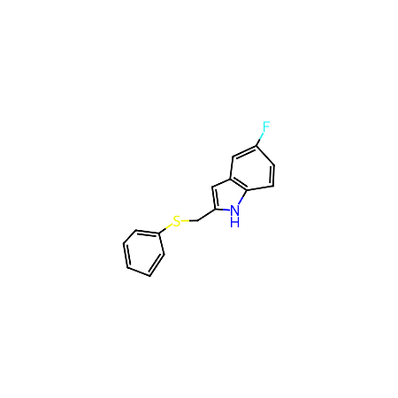 Fc1ccc2[nH]c(CSc3ccccc3)cc2c1